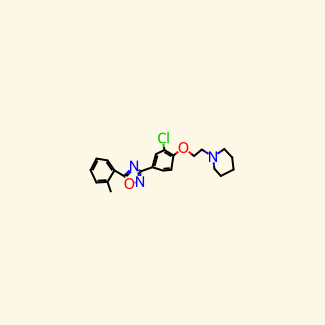 Cc1ccccc1-c1nc(-c2ccc(OCCN3CCCCC3)c(Cl)c2)no1